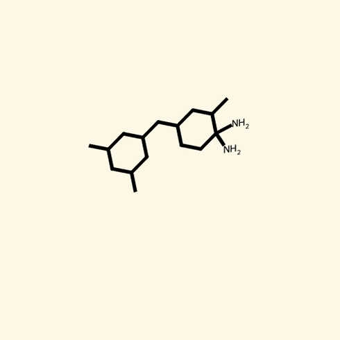 CC1CC(C)CC(CC2CCC(N)(N)C(C)C2)C1